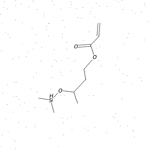 C=CC(=O)OCCC(C)O[SiH](C)C